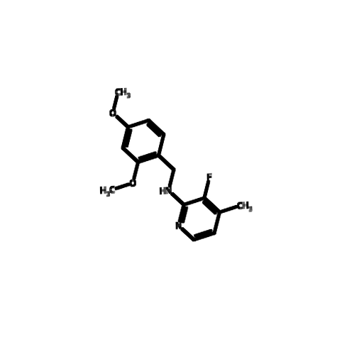 COc1ccc(CNc2nccc(C)c2F)c(OC)c1